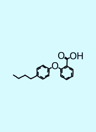 CCCCc1ccc(Oc2ccccc2C(=O)O)cc1